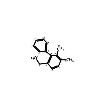 Cc1ccc(CO)c(-c2ccccc2)c1C